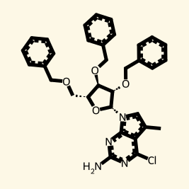 Cc1cn([C@@H]2O[C@H](COCc3ccccc3)[C@@H](OCc3ccccc3)[C@@H]2OCc2ccccc2)c2nc(N)nc(Cl)c12